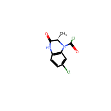 C[C@H]1C(=O)Nc2ccc(Cl)cc2N1C(=O)Cl